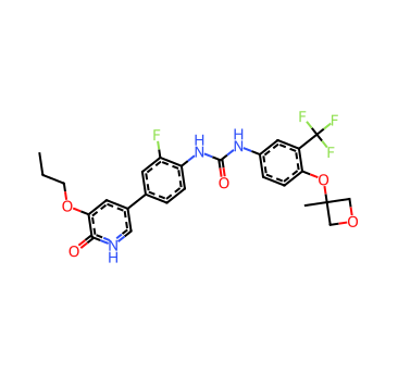 CCCOc1cc(-c2ccc(NC(=O)Nc3ccc(OC4(C)COC4)c(C(F)(F)F)c3)c(F)c2)c[nH]c1=O